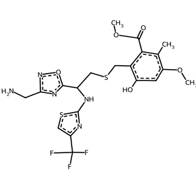 COC(=O)c1c(C)c(OC)cc(O)c1CSCC(Nc1nc(C(F)(F)F)cs1)c1nc(CN)no1